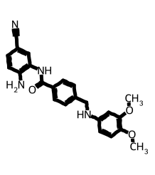 COc1ccc(NCc2ccc(C(=O)Nc3cc(C#N)ccc3N)cc2)cc1OC